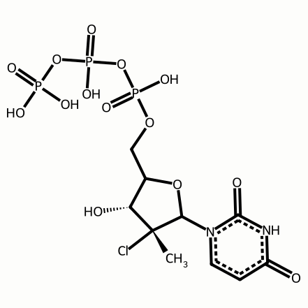 C[C@]1(Cl)C(n2ccc(=O)[nH]c2=O)OC(COP(=O)(O)OP(=O)(O)OP(=O)(O)O)[C@H]1O